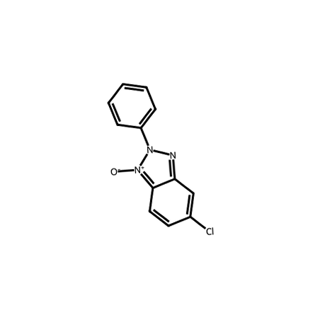 [O-][n+]1c2ccc(Cl)cc2nn1-c1ccccc1